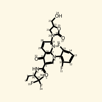 CC[C@@H](NC(=O)c1cn(-c2c(F)cccc2F)c2nc(N3CC(CO)OC3=O)ccc2c1=O)C(F)(F)F